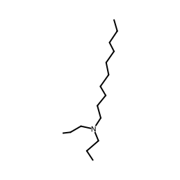 CCCCCCCCCCN(CCC)CCC